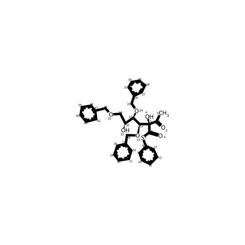 CC(=O)[C@](O)(C(=O)Sc1ccccc1)[C@@H](OCc1ccccc1)[C@H](OCc1ccccc1)[C@H](O)COCc1ccccc1